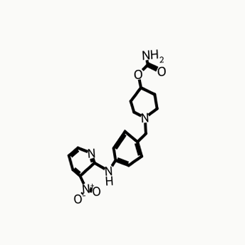 NC(=O)OC1CCN(Cc2ccc(Nc3ncccc3[N+](=O)[O-])cc2)CC1